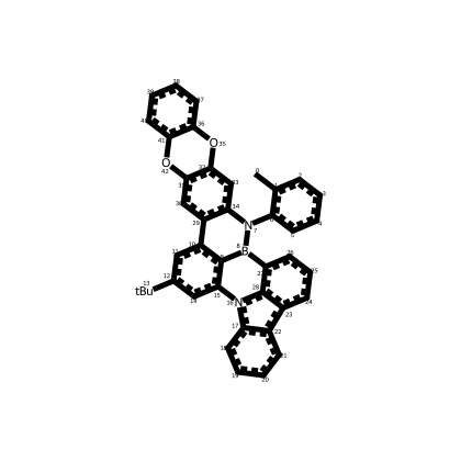 Cc1ccccc1N1B2c3c(cc(C(C)(C)C)cc3-n3c4ccccc4c4cccc2c43)-c2cc3c(cc21)Oc1ccccc1O3